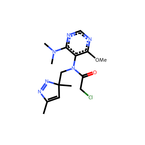 COc1ncnc(N(C)C)c1N(CC1(C)C=C(C)N=N1)C(=O)CCl